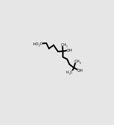 CC(C)(O)CCCC(C)(O)CCCCC(=O)O